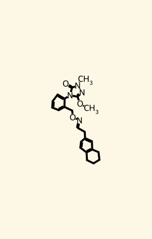 COc1nn(C)c(=O)n1-c1ccccc1CON=CCc1ccc2c(c1)CCCC2